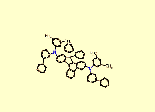 Cc1cc(C)cc(N(c2cccc(-c3ccccc3)c2)c2ccc3c(c2)C(c2ccccc2)(c2ccccc2)c2c-3c3ccccc3c3cc(N(c4cc(C)cc(C)c4)c4cccc(-c5ccccc5)c4)ccc23)c1